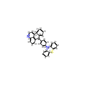 c1ccc2c(c1)Sc1ccccc1N2c1ccc(B2c3ccccc3-c3ccnc4cccc2c34)cc1